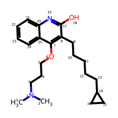 CN(C)CCCOc1c(CCCCCC2CC2)c(O)nc2ccccc12